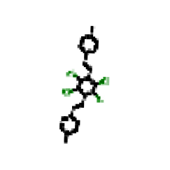 Cc1ccc(/C=C/c2c(Cl)c(Cl)c(/C=C/c3ccc(C)cc3)c(Cl)c2Cl)cc1